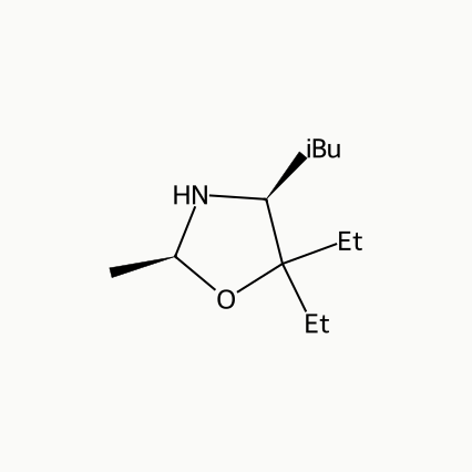 CCC(C)[C@@H]1N[C@H](C)OC1(CC)CC